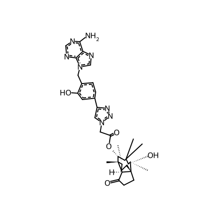 C[C@@H]1CC[C@@]23CCC(=O)[C@H]2[C@]1(C)[C@H](OC(=O)Cn1cc(-c2ccc(Cn4cnc5c(N)ncnc54)c(O)c2)nn1)CC(C)(C)[C@@H](O)[C@@H]3C